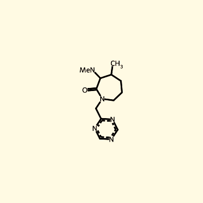 CNC1C(=O)N(Cc2ncncn2)CCCC1C